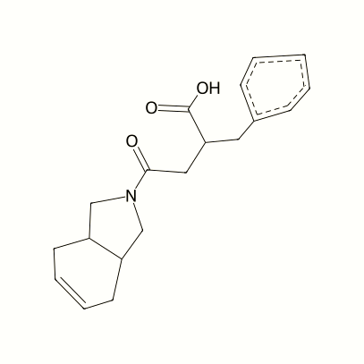 O=C(O)C(CC(=O)N1CC2CC=CCC2C1)Cc1ccccc1